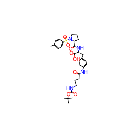 Cc1ccc(S(=O)(=O)N2CCC[C@H]2C(=O)N[C@@H](Cc2ccc(NC(=O)CCCNC(=O)OC(C)(C)C)cc2)C(=O)O)cc1